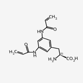 C=CC(=O)Nc1cc(C[C@H](N)C(=O)O)cc(NC(=O)C=C)c1